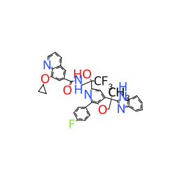 C[C@]1(c2nc3ccccc3[nH]2)COc2c1cc([C@@](O)(CNC(=O)c1cc(OC3CC3)c3ncccc3c1)C(F)(F)F)nc2-c1ccc(F)cc1